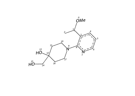 CO[C](C)c1cccnc1N1CCC(O)(CO)CC1